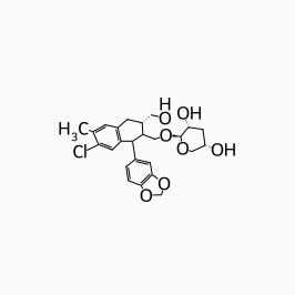 Cc1cc2c(cc1Cl)C(c1ccc3c(c1)OCO3)C(CO[C@@H]1OC[C@@H](O)C[C@H]1O)[C@@H](CO)C2